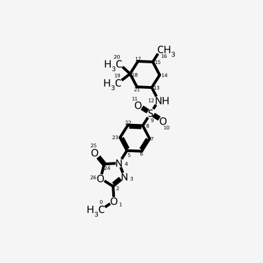 COc1nn(-c2ccc(S(=O)(=O)NC3CC(C)CC(C)(C)C3)cc2)c(=O)o1